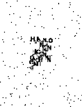 COc1nc(N)nc2c1ncn2[C@@H]1O[C@@H]2COP(=O)(NC3CC3)O[C@H]2[C@@]1(C)N=[N+]=[N-]